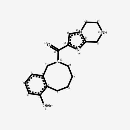 COc1cccc2c1CCCCN(C(=O)c1cn3c(n1)CNCC3)C2